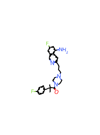 CC(C)(C(=O)N1CCN(CCCc2cc3c(N)cc(F)cc3cn2)CC1)c1ccc(F)cc1